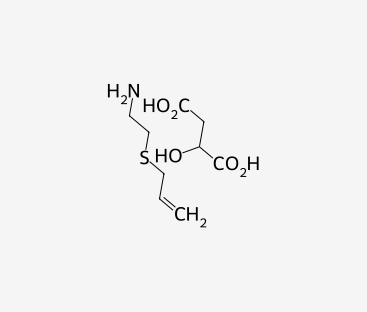 C=CCSCCN.O=C(O)CC(O)C(=O)O